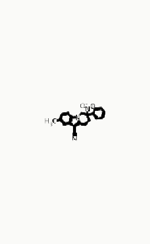 Cc1ccc2c(c1)c(C#N)c1n2CC(c2ccccc2)([N+](=O)[O-])CC1